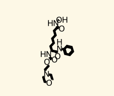 O=C(CCCCCC(NC(=O)OCCN1CCOCC1)C(=O)Nc1ccccc1)NO